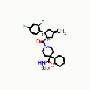 C=C1C[C@H](c2ccc(F)cc2F)[C@H](C(=O)N2CCC(C(=O)NC(C)(C)C)(C3CCCCC3)CC2)C1